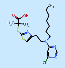 CCCCCCCN(CCc1csc(SC(C)(C)C(=O)O)n1)c1cc(Cl)ncn1